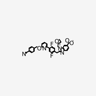 COC(=O)c1ccc2nc(Cc3cc(F)c(-c4cccc(OCc5ccc(C#N)cc5)n4)cc3F)n(C[C@@H]3CCO3)c2c1